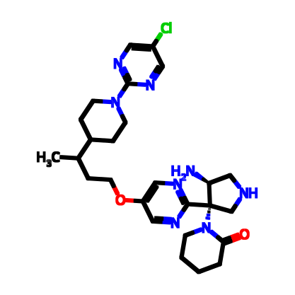 CC(CCOc1cnc([C@]2(N3CCCCC3=O)CNC[C@@H]2N)nc1)C1CCN(c2ncc(Cl)cn2)CC1